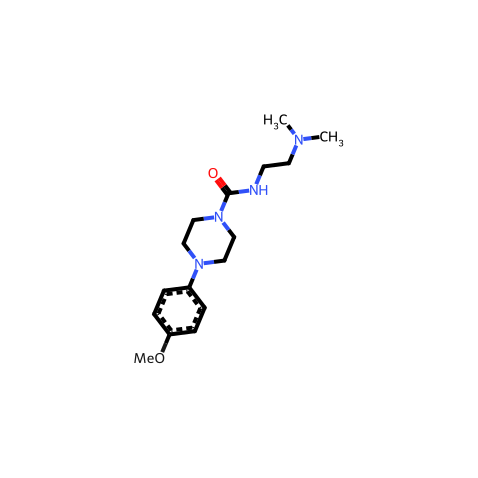 COc1ccc(N2CCN(C(=O)NCCN(C)C)CC2)cc1